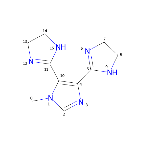 Cn1cnc(C2=NCCN2)c1C1=NCCN1